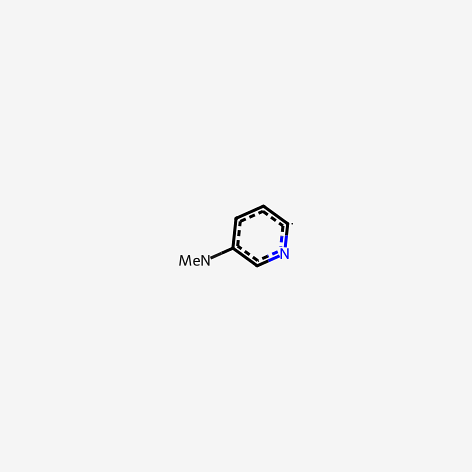 CNc1cc[c]nc1